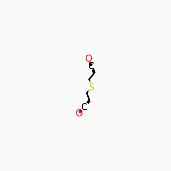 O=C=CCSCC=C=O